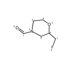 O=CN1CCOC(CF)C1